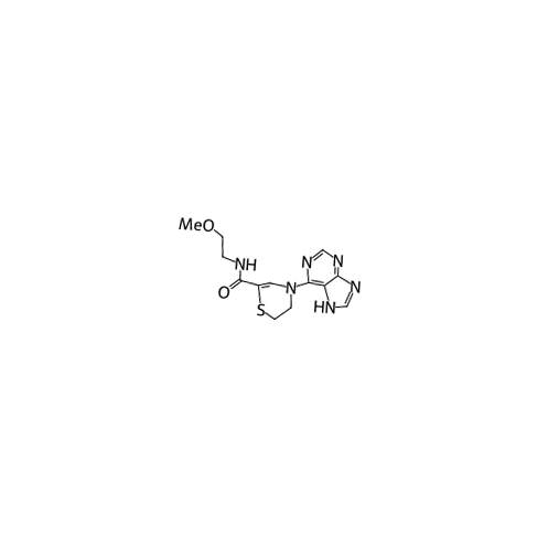 COCCNC(=O)C1=CN(c2ncnc3nc[nH]c23)CCS1